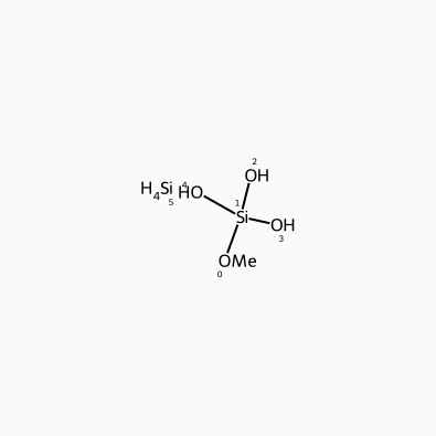 CO[Si](O)(O)O.[SiH4]